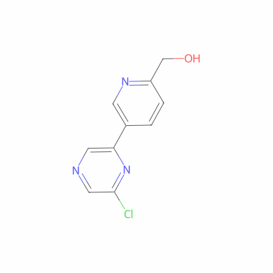 OCc1ccc(-c2cncc(Cl)n2)cn1